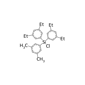 CCc1cc(CC)cc([Si](Cl)(c2cc(C)cc(C)c2)c2cc(CC)cc(CC)c2)c1